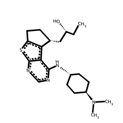 CC[C@@H](O)C[C@H]1CCc2sc3ncnc(N[C@H]4CC[C@H](N(C)C)CC4)c3c21